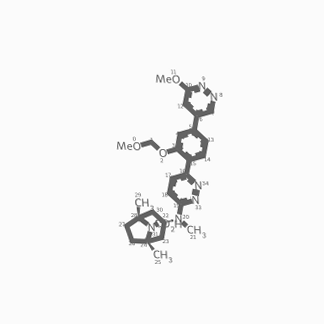 COCOc1cc(-c2cnnc(OC)c2)ccc1-c1ccc(N(C)[C@@H]2C[C@]3(C)CC[C@](C)(C2)N3C(=O)O)nn1